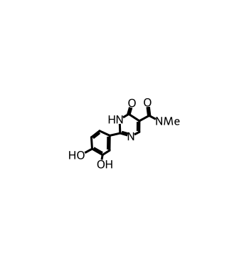 [CH2]NC(=O)c1cnc(-c2ccc(O)c(O)c2)[nH]c1=O